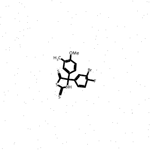 COc1ccc(C2(c3ccc(F)c(Br)c3)NC(=S)SC2=S)cc1C